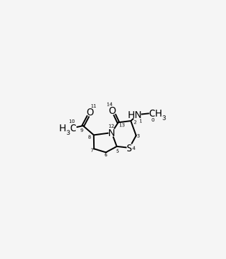 CNC1CSC2CCC(C(C)=O)N2C1=O